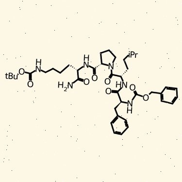 CC(C)CC[C@H](NC(=O)[C@H](Cc1ccccc1)NC(=O)OCc1ccccc1)C(=O)N1CCC[C@H]1C(=O)N[C@@H](CCCCNC(=O)OC(C)(C)C)C(N)=O